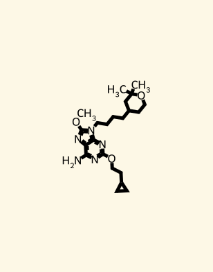 COc1nc2c(N)nc(OCCC3CC3)nc2n1CCCCC1CCOC(C)(C)C1